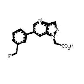 O=C(O)Cn1ncc2ncc(-c3cccc(CF)c3)cc21